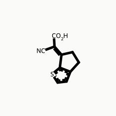 N#C/C(C(=O)O)=C1/CCc2ccsc21